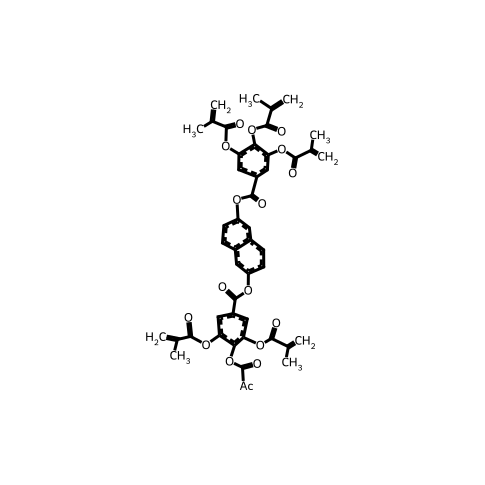 C=C(C)C(=O)Oc1cc(C(=O)Oc2ccc3cc(OC(=O)c4cc(OC(=O)C(=C)C)c(OC(=O)C(C)=O)c(OC(=O)C(=C)C)c4)ccc3c2)cc(OC(=O)C(=C)C)c1OC(=O)C(=C)C